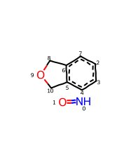 N=O.c1ccc2c(c1)COC2